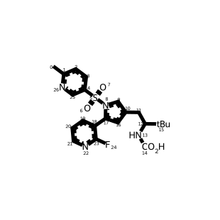 Cc1ccc(S(=O)(=O)n2cc(CC(NC(=O)O)C(C)(C)C)cc2-c2cccnc2F)cn1